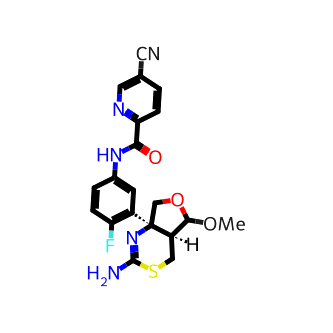 COC1OC[C@]2(c3cc(NC(=O)c4ccc(C#N)cn4)ccc3F)N=C(N)SC[C@H]12